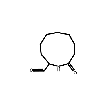 O=CC1CCCCCCCC(=O)N1